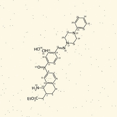 CCOC(=O)CC1CCc2ccc(C(=O)c3ccc(C=NN4CCN(c5ccccc5)CC4)cc3)cc2C1N.Cl.Cl